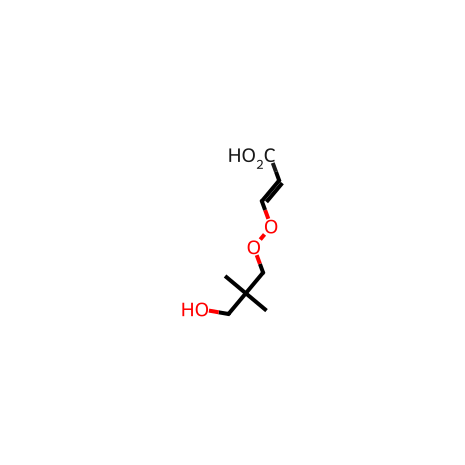 CC(C)(CO)COOC=CC(=O)O